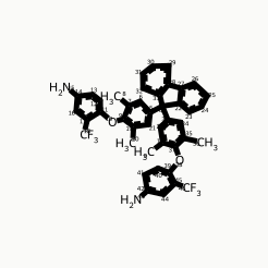 Cc1cc(C2(c3cc(C)c(Oc4ccc(N)cc4C(F)(F)F)c(C)c3)c3ccccc3-c3ccccc32)cc(C)c1Oc1ccc(N)cc1C(F)(F)F